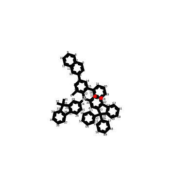 Cc1cc(-c2ccc3ccccc3c2)cc(-c2ccccc2)c1N(c1ccc2c(c1)C(C)(C)c1ccccc1-2)c1ccc2c(c1)C(c1ccccc1)(c1ccccc1)c1ccccc1-2